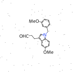 COc1cccc(Cn2cc(CCC=O)c3cc(OC)ccc32)c1